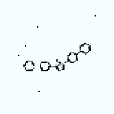 c1ccc(-c2ccc(-c3ccc(-c4ccc(-c5ccccc5)cc4)s3)cc2)cc1